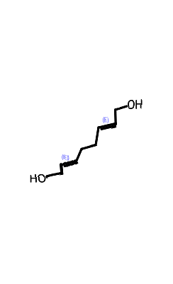 OC/C=C/CC/C=C/CO